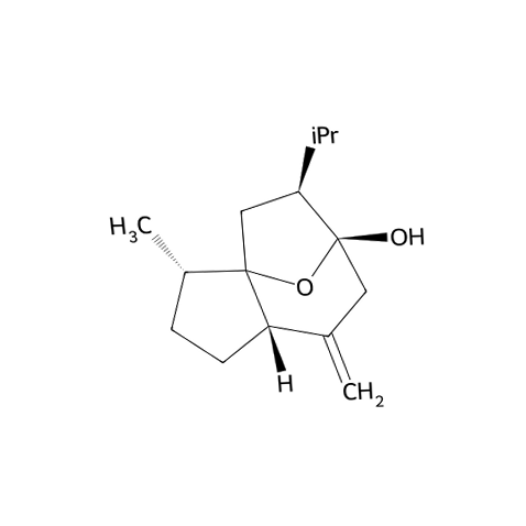 C=C1C[C@]2(O)OC3(C[C@H]2C(C)C)[C@@H](C)CC[C@@H]13